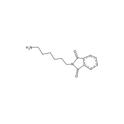 NCCCCCCN1C(=O)c2ccccc2C1=O